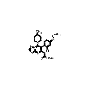 COC(=O)Cc1nc2ncnn2c(N2CCC(C)CC2)c1C1=CCC(=NON)C=C1Cl